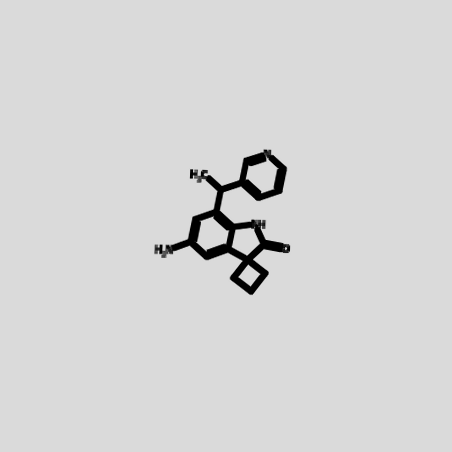 CC(c1cccnc1)c1cc(N)cc2c1NC(=O)C21CCC1